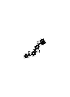 O=C(NC12CC3CC(CC(C3)C1)C2)c1ccc(-c2nc3cc(NC(=O)C4CCCC4)ccc3[nH]2)cc1